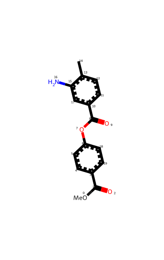 COC(=O)c1ccc(OC(=O)c2ccc(C)c(N)c2)cc1